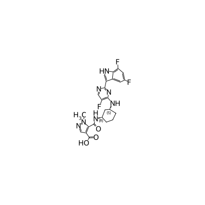 Cn1ncc(C(=O)O)c1C(=O)N[C@@H]1CCC[C@H](Nc2nc(-c3c[nH]c4c(F)cc(F)cc34)ncc2F)C1